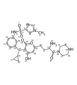 Cn1cnc(S(=O)(=O)Nc2cccc(C(c3c(O)cc(CCC(N)C(=O)N4CCNCC4)oc3=O)C3CC3)c2)c1